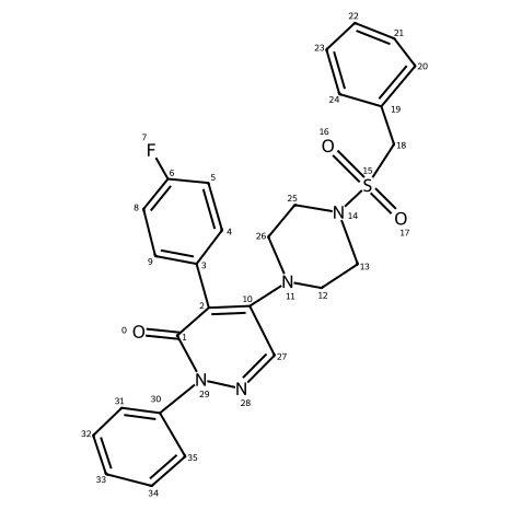 O=c1c(-c2ccc(F)cc2)c(N2CCN(S(=O)(=O)Cc3ccccc3)CC2)cnn1-c1ccccc1